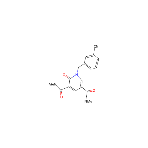 CNC(=O)c1cc(C(=O)NC)c(=O)n(Cc2cccc(C#N)c2)c1